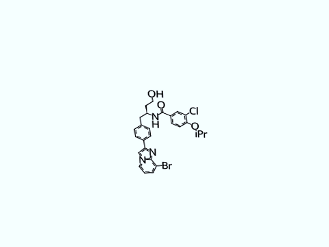 CC(C)Oc1ccc(C(=O)N[C@H](CCO)Cc2ccc(-c3cn4cccc(Br)c4n3)cc2)cc1Cl